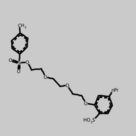 CCCc1ccc(S(=O)(=O)O)c(OCCOCCOCCOS(=O)(=O)c2ccc(C)cc2)c1